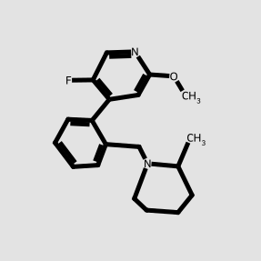 COc1cc(-c2ccccc2CN2CCCCC2C)c(F)cn1